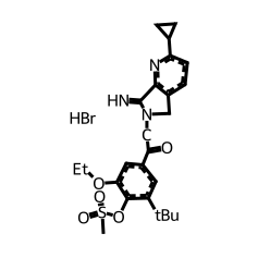 Br.CCOc1cc(C(=O)CN2Cc3ccc(C4CC4)nc3C2=N)cc(C(C)(C)C)c1OS(C)(=O)=O